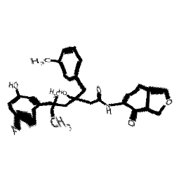 Cc1cccc(CC(O)(CC(=O)NC2C=CC3=COCC3C2=O)CC(C)(C)c2cc(O)cc(F)c2)c1